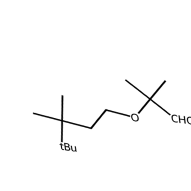 CC(C)(C=O)OCCC(C)(C)C(C)(C)C